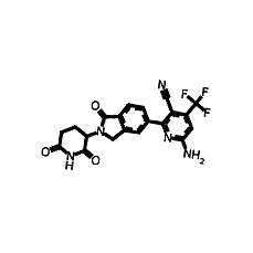 N#Cc1c(C(F)(F)F)cc(N)nc1-c1ccc2c(c1)CN(C1CCC(=O)NC1=O)C2=O